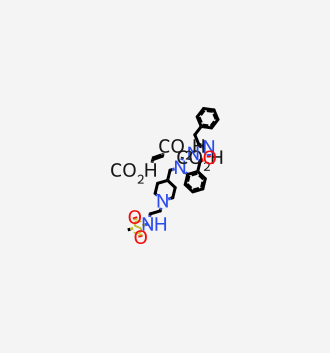 CS(=O)(=O)NCCN1CCC(CN(C(=O)O)c2ccccc2-c2nc(Cc3ccccc3)no2)CC1.O=C(O)C=CC(=O)O